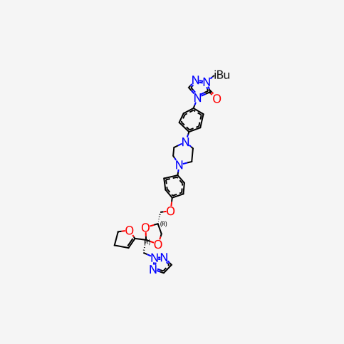 CCC(C)n1ncn(-c2ccc(N3CCN(c4ccc(OC[C@@H]5CO[C@@](Cn6nccn6)(C6=CCCO6)O5)cc4)CC3)cc2)c1=O